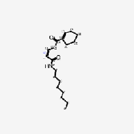 CCCCCCCCNC(=O)/C=C\SC(=O)C1=CCCCC1